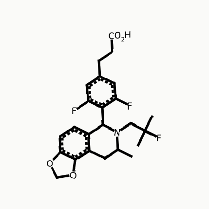 CC1Cc2c(ccc3c2OCO3)C(c2c(F)cc(CCC(=O)O)cc2F)N1CC(C)(C)F